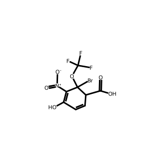 O=C(O)C1C=CC(O)=C([N+](=O)[O-])C1(Br)OC(F)(F)F